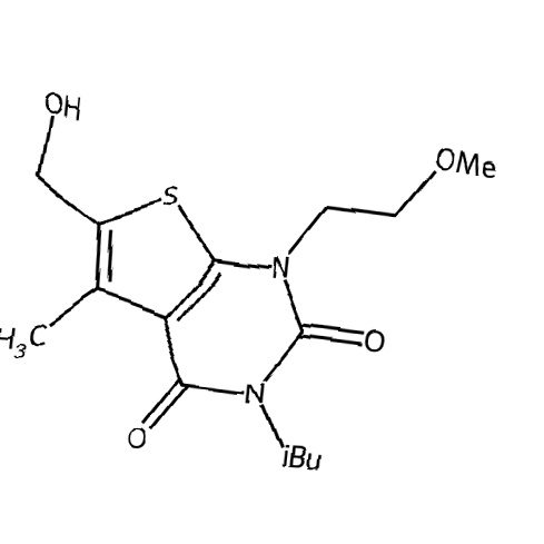 CCC(C)n1c(=O)c2c(C)c(CO)sc2n(CCOC)c1=O